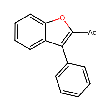 CC(=O)c1oc2ccccc2c1-c1ccccc1